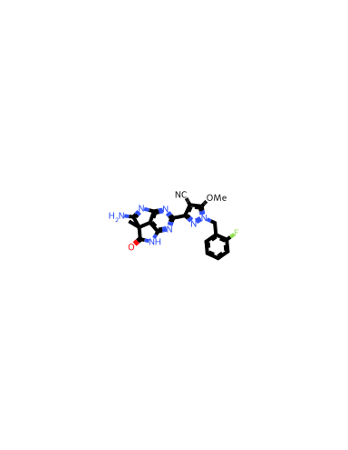 COc1c(C#N)c(-c2nc3c4c(n2)NC(=O)C4(C)C(N)=N3)nn1Cc1ccccc1F